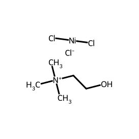 C[N+](C)(C)CCO.[Cl-].[Cl][Ni][Cl]